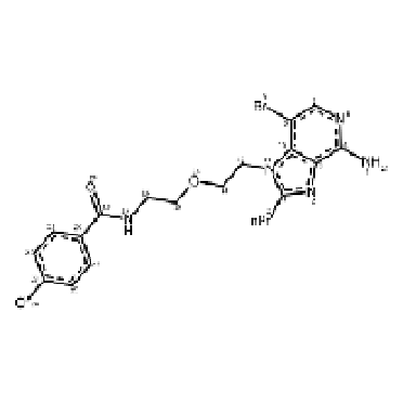 CCCc1nc2c(N)ncc(Br)c2n1CCOCCNC(=O)c1ccc(Cl)cc1